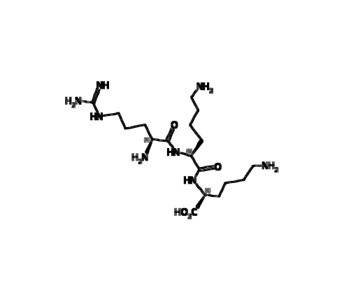 N=C(N)NCCC[C@H](N)C(=O)N[C@@H](CCCCN)C(=O)N[C@@H](CCCCN)C(=O)O